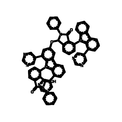 O=C1c2cccc(-n3c4c(-c5cncnc5)cccc4c4cc(OC5c6cccc(-n7c8ccccc8c8cccc(-c9cncnc9)c87)c6C(=O)N5c5ccccc5)cc(-c5cncnc5)c43)c2C(O)N1c1ccccc1